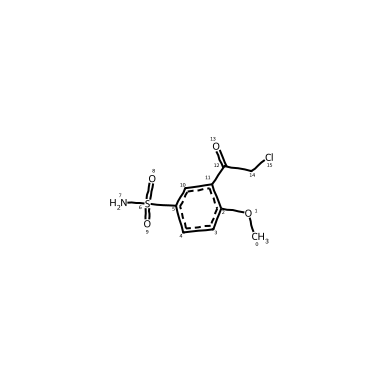 COc1ccc(S(N)(=O)=O)cc1C(=O)CCl